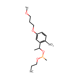 [3H]OCCCOc1ccc([N+](=O)[O-])c(C(C)OP(C)OCC[N+]#[C-])c1